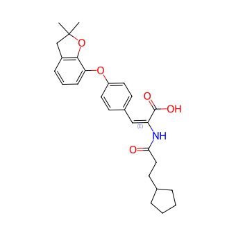 CC1(C)Cc2cccc(Oc3ccc(/C=C(/NC(=O)CCC4CCCC4)C(=O)O)cc3)c2O1